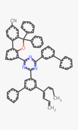 C=C/C=C(\C=C/C)c1cc(-c2ccccc2)cc(-c2nc(-c3cccc(-c4ccccc4)c3)nc(-c3cccc4c3OC(c3ccccc3)(c3ccccc3)c3cc(C#N)ccc3-4)n2)c1